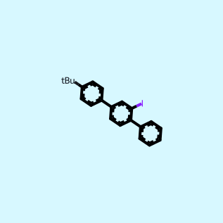 CC(C)(C)c1ccc(-c2ccc(-c3ccccc3)c(I)c2)cc1